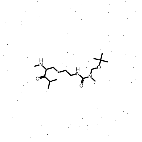 CNC(CCCCNC(=O)N(C)COC(C)(C)C)C(=O)C(C)C